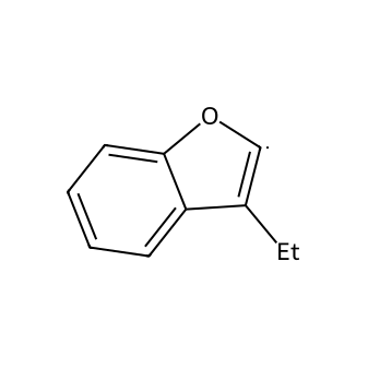 CCc1[c]oc2ccccc12